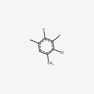 Cc1cc(I)c(F)c(F)c1Cl